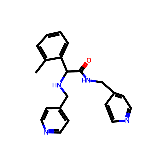 Cc1ccccc1C(NCc1ccncc1)C(=O)NCc1ccncc1